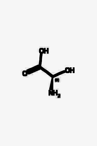 N[C@H](O)C(=O)O